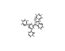 c1ccc(-c2cc(-n3c4cccnc4c4c5ccccc5oc43)cc(-c3ccccn3)n2)nc1